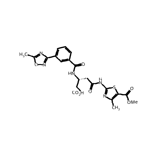 COC(=O)c1sc(NC(=O)C[C@H](CC(=O)O)NC(=O)c2cccc(-c3noc(C)n3)c2)nc1C